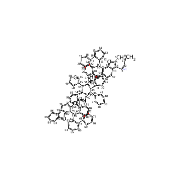 C=C/C=C\c1c(C)oc2c(N(c3ccccc3-c3ccccc3)c3cccc4c3c3cccc5c6c(-c7ccccc7)c7c(c(-c8ccccc8)c6n4c35)c3cccc4c5c(N(c6ccccc6-c6ccccc6)c6c(C)ccc8c6oc6ccccc68)cccc5n7c43)c(C)ccc12